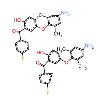 Cc1cc(N)cc(C)c1Oc1ccc(O)c(C(=O)c2ccc(F)cc2)c1.Cc1cc(N)cc(C)c1Oc1ccc(O)c(C(=O)c2ccc(F)cc2)c1